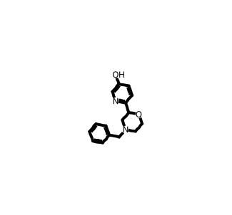 Oc1ccc(C2CN(Cc3ccccc3)CCO2)nc1